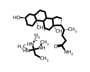 CCC(NC)(NC)NC.C[C@H](CCC(N)=O)[C@H]1CCC2C3CCC4C[C@H](O)CC[C@]4(C)C3CC[C@@]21C